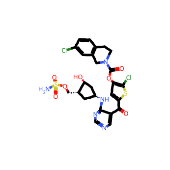 NS(=O)(=O)OC[C@H]1C[C@@H](Nc2ncncc2C(=O)c2cc(OC(=O)N3CCc4ccc(Cl)cc4C3)c(Cl)s2)C[C@@H]1O